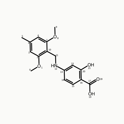 COc1cc(C)cc(OC)c1CNc1ccc(C(=O)O)c(O)c1